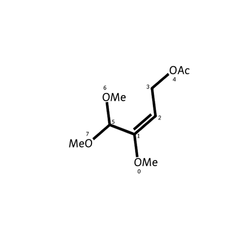 COC(=CCOC(C)=O)C(OC)OC